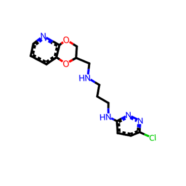 Clc1ccc(NCCCNCC2COc3ncccc3O2)nn1